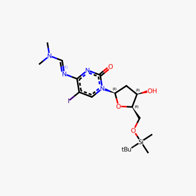 CN(C)/C=N/c1nc(=O)n([C@H]2C[C@@H](O)[C@@H](CO[Si](C)(C)C(C)(C)C)O2)cc1I